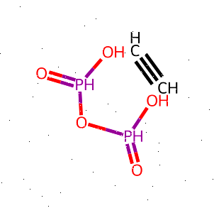 C#C.O=[PH](O)O[PH](=O)O